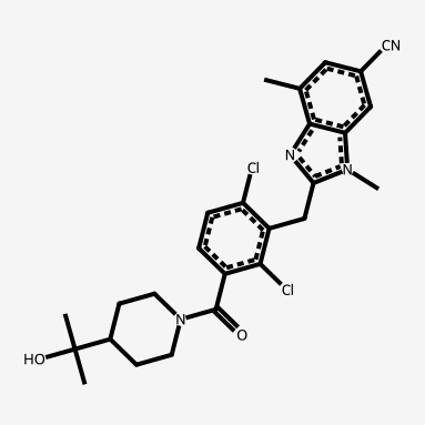 Cc1cc(C#N)cc2c1nc(Cc1c(Cl)ccc(C(=O)N3CCC(C(C)(C)O)CC3)c1Cl)n2C